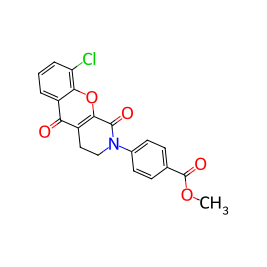 COC(=O)c1ccc(N2CCc3c(oc4c(Cl)cccc4c3=O)C2=O)cc1